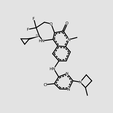 CC1CCN1c1ncc(Cl)c(Nc2ccc3c(c2)c2c(c(=O)n3C)OCC(F)(F)[C@H](C3CC3)N2)n1